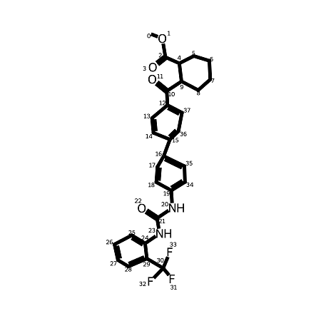 COC(=O)C1CCCCC1C(=O)c1ccc(-c2ccc(NC(=O)Nc3ccccc3C(F)(F)F)cc2)cc1